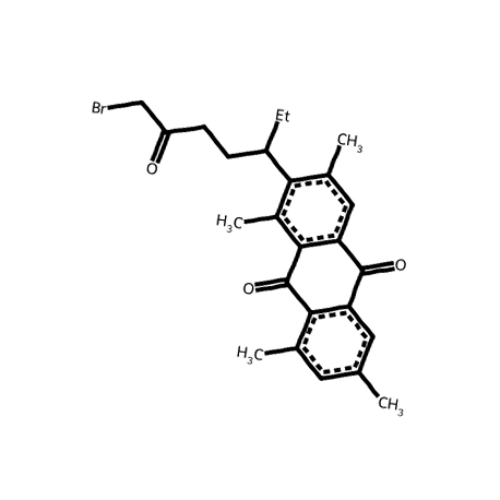 CCC(CCC(=O)CBr)c1c(C)cc2c(c1C)C(=O)c1c(C)cc(C)cc1C2=O